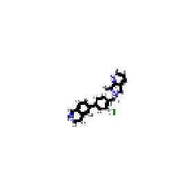 CC1c2ncccc2CN1Cc1ccc(-c2ccc3cnccc3c2)cc1Cl